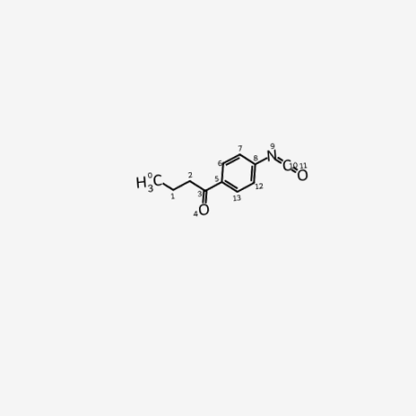 CCCC(=O)c1ccc(N=C=O)cc1